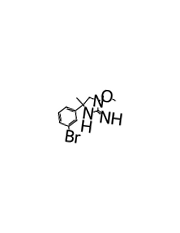 CON1CC(C)(c2cccc(Br)c2)NC1=N